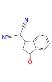 N#CC(C#N)C1CC(=O)c2ccccc21